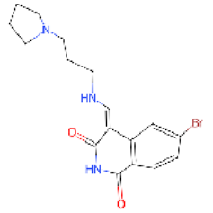 O=C1NC(=O)c2ccc(Br)cc2C1=CNCCCN1CCCC1